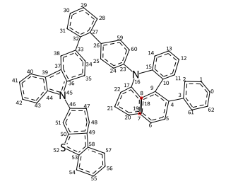 c1ccc(-c2ccccc2-c2ccccc2N(c2ccccc2)c2ccc(-c3ccccc3-c3ccc4c(c3)c3ccccc3n4-c3ccc4c(c3)sc3ccccc34)cc2)cc1